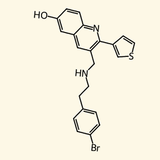 Oc1ccc2nc(-c3ccsc3)c(CNCCc3ccc(Br)cc3)cc2c1